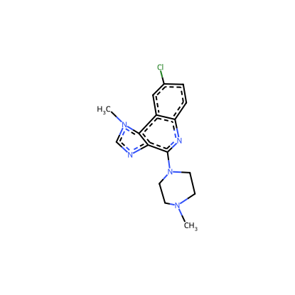 CN1CCN(c2nc3ccc(Cl)cc3c3c2ncn3C)CC1